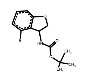 CC(C)(C)OC(=O)NC1COc2cccc(Br)c21